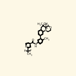 Cc1ccc(NC(=O)c2ccnc(C(C)(F)F)c2)cc1-c1ccc2c(c1)N1CCOC[C@H]1C(C)(C)C2